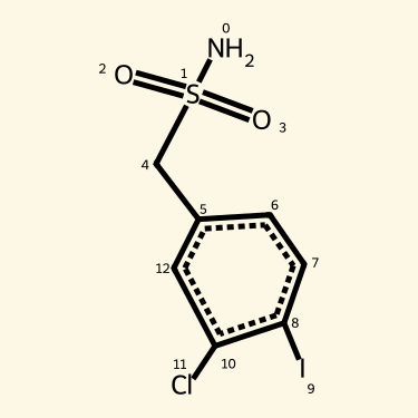 NS(=O)(=O)Cc1ccc(I)c(Cl)c1